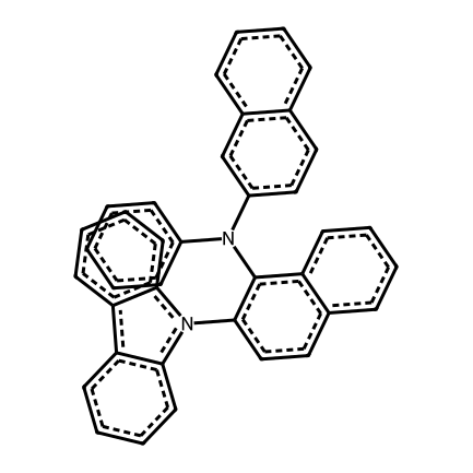 c1ccc(N(c2ccc3ccccc3c2)c2c(-n3c4ccccc4c4ccccc43)ccc3ccccc23)cc1